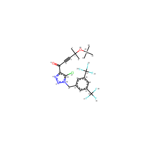 CC(C)(C#CC(=O)c1nnn(Cc2cc(C(F)(F)F)cc(C(F)(F)F)c2)c1Cl)O[Si](C)(C)C